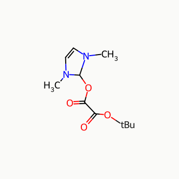 CN1C=CN(C)C1OC(=O)C(=O)OC(C)(C)C